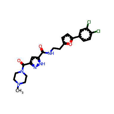 CN1CCN(C(=O)c2cc(C(=O)NCCc3ccc(-c4ccc(Cl)c(Cl)c4)o3)[nH]n2)CC1